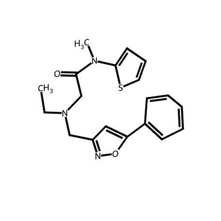 CCN(CC(=O)N(C)c1cccs1)Cc1cc(-c2ccccc2)on1